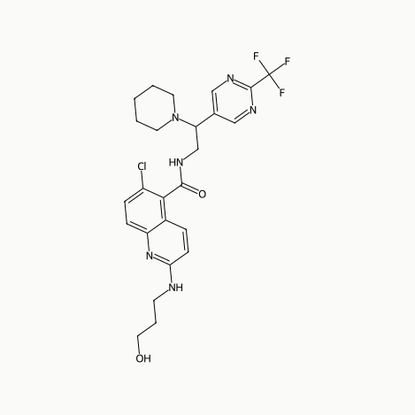 O=C(NCC(c1cnc(C(F)(F)F)nc1)N1CCCCC1)c1c(Cl)ccc2nc(NCCCO)ccc12